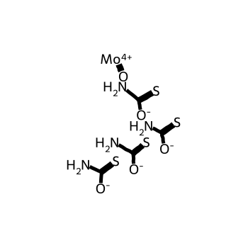 NC([O-])=S.NC([O-])=S.NC([O-])=S.NC([O-])=S.[O]=[Mo+4]